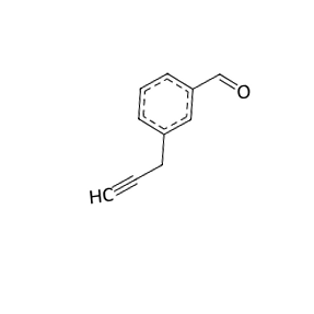 C#CCc1cccc(C=O)c1